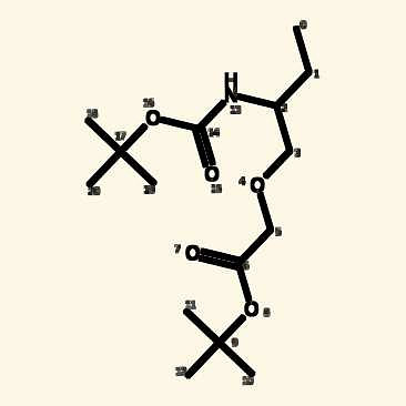 CCC(COCC(=O)OC(C)(C)C)NC(=O)OC(C)(C)C